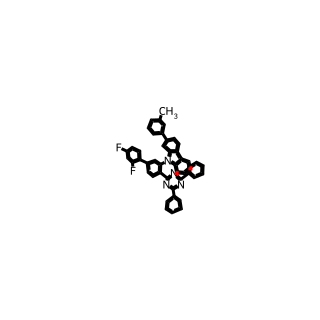 Cc1cccc(-c2ccc3c4ccccc4n(-c4cc(-c5ccc(F)cc5F)ccc4-c4nc(-c5ccccc5)nc(-c5ccccc5)n4)c3c2)c1